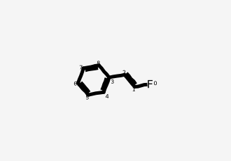 FC=Cc1cc[c]cc1